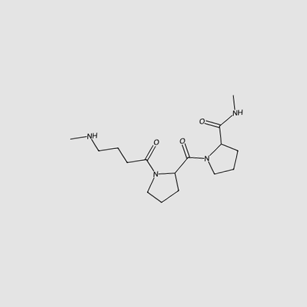 CNCCCC(=O)N1CCCC1C(=O)N1CCCC1C(=O)NC